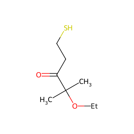 CCOC(C)(C)C(=O)CCS